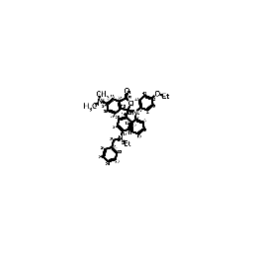 CCOc1ccc(N(c2ccccc2)C2(c3ccc(N(CC)Cc4ccccc4)cc3)OC(=O)c3cc(N(C)C)ccc32)cc1